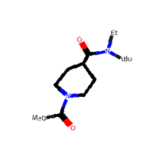 CCN(C(=O)C1CCN(C(=O)OC)CC1)C(C)(C)C